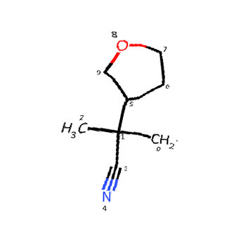 [CH2]C(C)(C#N)C1CCOC1